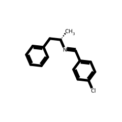 C[C@@H](Cc1ccccc1)/N=C/c1ccc(Cl)cc1